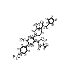 C#N.CC(C)c1nc(N2CCN(C(=O)Cc3cccs3)C(C(C)C)C2)c([C@H]2CCCN2C)cc1-c1ccc(C(F)(F)F)cc1